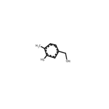 Cc1ccc(CO)cc1S